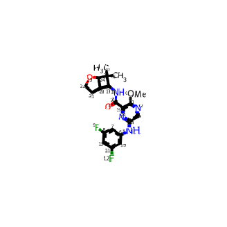 COc1ncc(Nc2cc(F)cc(F)c2)nc1C(=O)NC1C2CCOC2C1(C)C